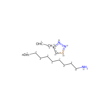 CC=O.CCCCCCCCCCCCCCCCCCN.c1csnn1